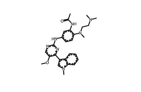 COc1cnc(Nc2ccc(N(C)CCN(C)C)c(NC(C)=O)c2)nc1-c1cn(C)c2ccccc12